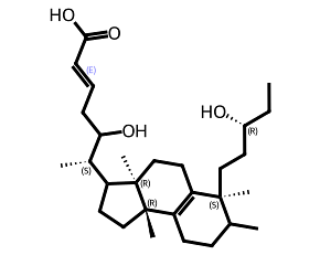 CC[C@@H](O)CC[C@]1(C)C2=C(CCC1C)[C@]1(C)CCC([C@H](C)C(O)C/C=C/C(=O)O)[C@@]1(C)CC2